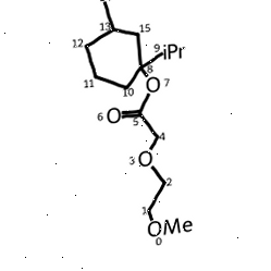 COCCOCC(=O)OC1(C(C)C)CCCC(C)C1